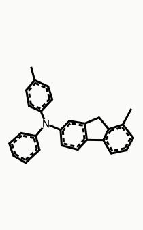 Cc1ccc(N(c2ccccc2)c2ccc3c(c2)Cc2c(C)cccc2-3)cc1